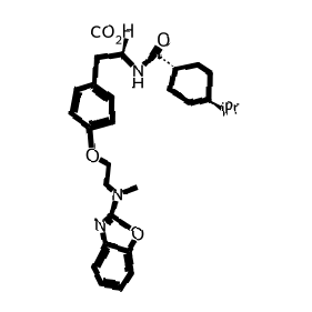 CC(C)[C@H]1CC[C@H](C(=O)N[C@@H](Cc2ccc(OCCN(C)c3nc4ccccc4o3)cc2)C(=O)O)CC1